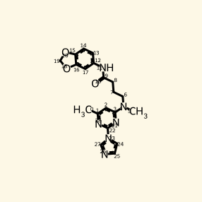 Cc1cc(N(C)CCCC(=O)Nc2ccc3c(c2)OCO3)nc(-n2ccnc2)n1